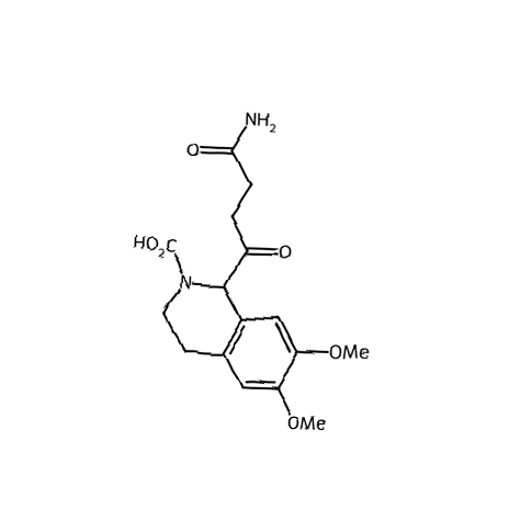 COc1cc2c(cc1OC)C(C(=O)CCC(N)=O)N(C(=O)O)CC2